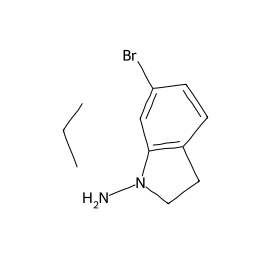 CCC.NN1CCc2ccc(Br)cc21